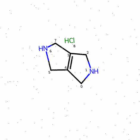 C1NCC2=C1CNC2.Cl